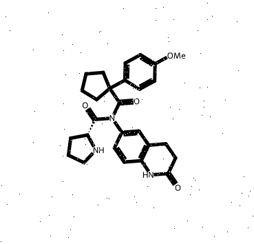 COc1ccc(C2(C(=O)N(C(=O)[C@H]3CCCN3)c3ccc4c(c3)CCC(=O)N4)CCCC2)cc1